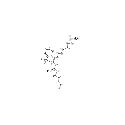 CC(C)(C)C1[CH]CCCC1.CCCCCC[C@@H](O)C/C=C\CCCCCCCC(=O)O